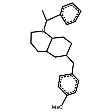 COc1ccc(CC2CCC3C(CCCN3C(C)c3ccccc3)C2)cc1